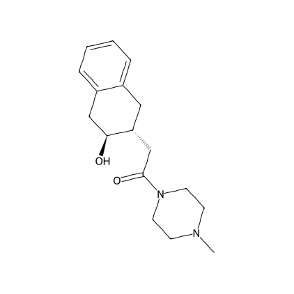 CN1CCN(C(=O)C[C@H]2Cc3ccccc3C[C@@H]2O)CC1